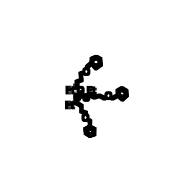 CC[C@@H](CCCOCc1ccccc1)OB(O[C@@H](CC)CCCOCc1ccccc1)O[C@@H](CC)CCCOCc1ccccc1